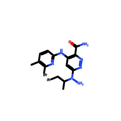 Cc1ccc(Nc2cc(N(N)C(C)CC(C)C)nnc2C(N)=O)nc1C(C)C